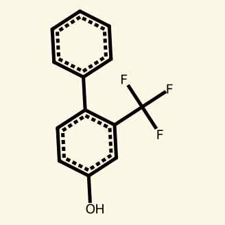 Oc1ccc(-c2ccccc2)c(C(F)(F)F)c1